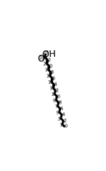 CCCCCCCCCCCCCC=CC=CC=CC=CC=CC(=O)O